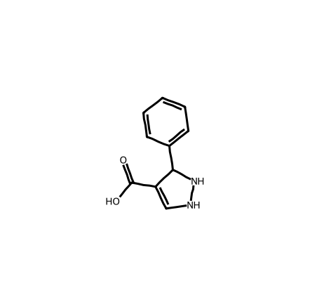 O=C(O)C1=CNNC1c1ccccc1